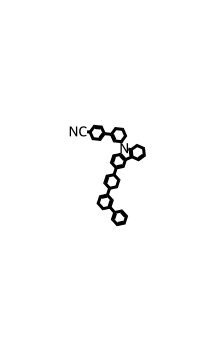 N#CC1C=CC(C2=CC(n3c4c(c5cc(C6C=CC(C7=CCCC(c8ccccc8)=C7)CC6)ccc53)C=CCC4)CCC2)=CC1